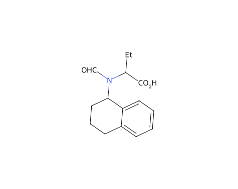 CCC(C(=O)O)N(C=O)C1CCCc2ccccc21